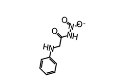 O=C(CNc1ccccc1)N[N+](=O)[O-]